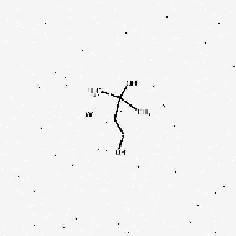 CC(C)(O)CCO.[W]